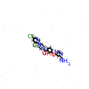 NCc1cc(Oc2cccc(C(O)N3CCN(c4ncc(Cl)cc4Cl)CC3)c2)ncn1